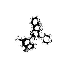 Fc1cc(-c2nc(N3CCOCC3)c3oc4ncccc4c3n2)c2cc[nH]c2c1